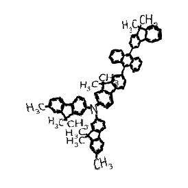 Cc1ccc2c(c1)C(C)(C)c1cc(N(c3ccc4c(c3)C(C)(C)c3cc(C)ccc3-4)c3ccc4c(c3)C(C)(C)c3cc(-c5c6ccccc6c(-c6ccc7c(c6)-c6ccccc6C7(C)C)c6ccccc56)ccc3-4)ccc1-2